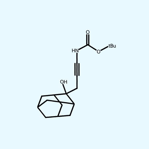 CC(C)(C)OC(=O)NC#CCC1(O)C2CC3CC(C2)CC1C3